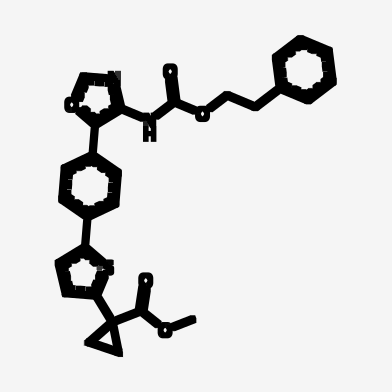 COC(=O)C1(c2ccc(-c3ccc(-c4ocnc4NC(=O)OCCc4ccccc4)cc3)s2)CC1